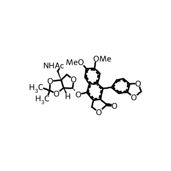 COc1cc2c(O[C@H]3OC[C@@]4(CNC(C)=O)OC(C)(C)O[C@@H]34)c3c(c(-c4ccc5c(c4)OCO5)c2cc1OC)C(=O)OC3